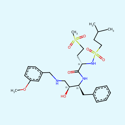 COc1cccc(CNC[C@H](O)[C@H](Cc2ccccc2)NC(=O)[C@H](CCS(C)(=O)=O)NS(=O)(=O)CCC(C)C)c1